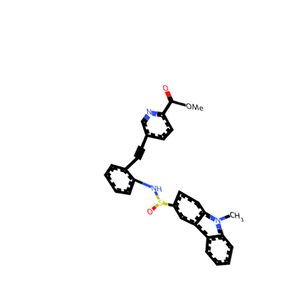 COC(=O)c1ccc(C#Cc2ccccc2N[S+]([O-])c2ccc3c(c2)c2ccccc2n3C)cn1